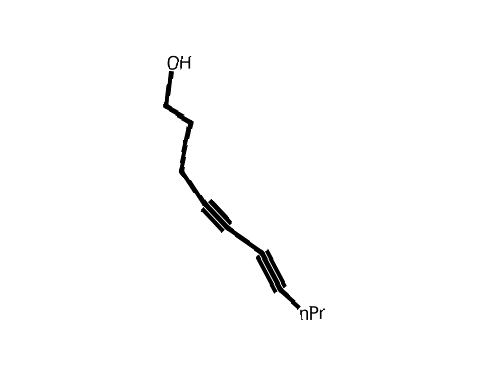 CCCC#CC#CCCCO